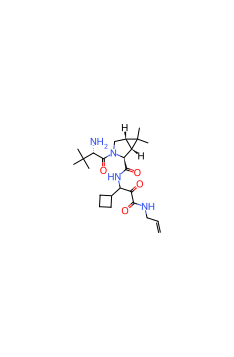 C=CCNC(=O)C(=O)C(NC(=O)[C@@H]1[C@@H]2[C@H](CN1C(=O)[C@@H](N)C(C)(C)C)C2(C)C)C1CCC1